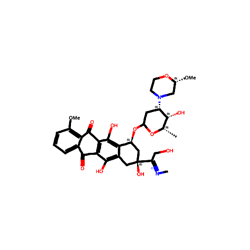 C/N=C(\CO)[C@]1(O)Cc2c(O)c3c(c(O)c2[C@@H](OC2C[C@H](N4CCO[C@H](OC)C4)[C@H](O)[C@H](C)O2)C1)C(=O)c1c(OC)cccc1C3=O